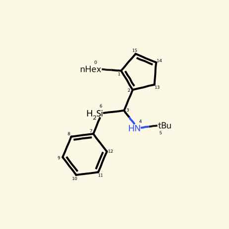 CCCCCCC1=C(C(NC(C)(C)C)[SiH2]c2ccccc2)CC=C1